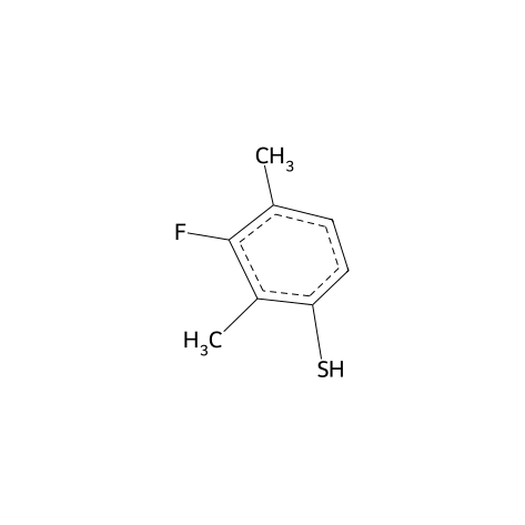 Cc1ccc(S)c(C)c1F